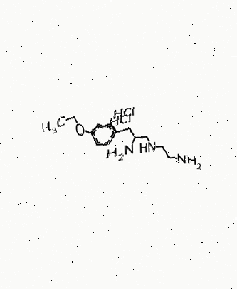 CCOc1ccc(CC(N)CNCCN)cc1.Cl.Cl